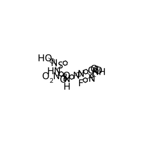 Cc1c(C(=O)NS(C)(=O)=O)c(-c2cccc(N3CCN(c4ccc(NS(=O)(=O)c5ccc(N[C@H](CCN6CCC(O)CC6)CSc6ccccc6)c([N+](=O)[O-])c5)cc4)CC3)c2)c(-c2ccc(F)cc2)n1C